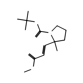 COC(=O)/C=C/C1(C)CCCN1C(=O)OC(C)(C)C